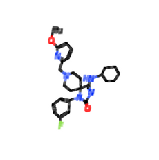 CCC(C)Oc1cccc(CN2CCC3(CC2)C(NC2CCCCC2)=NC(=O)N3c2cccc(F)c2)n1